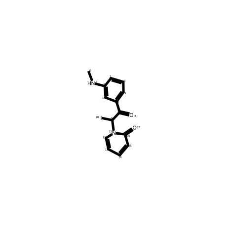 CNc1cccc(C(=O)C(I)n2ccccc2=O)c1